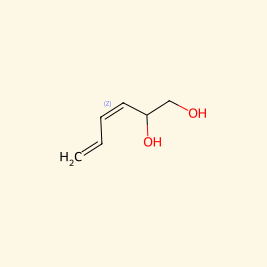 C=C/C=C\C(O)CO